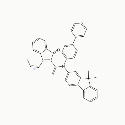 C=C(C1=C(/C=C\C)c2ccccc2C1=O)N(c1ccc(-c2ccccc2)cc1)c1ccc2c(c1)C(C)(C)c1ccccc1-2